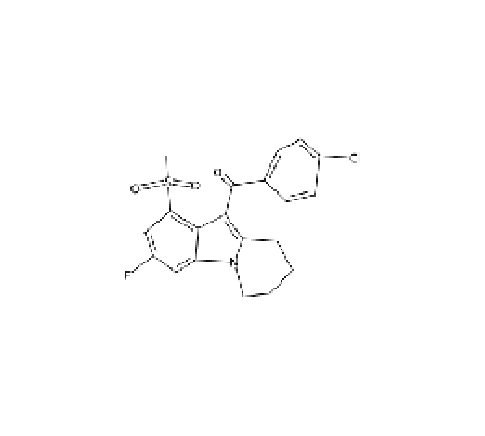 CS(=O)(=O)c1cc(F)cc2c1c(C(=O)c1ccc(Cl)cc1)c1n2CCCC1